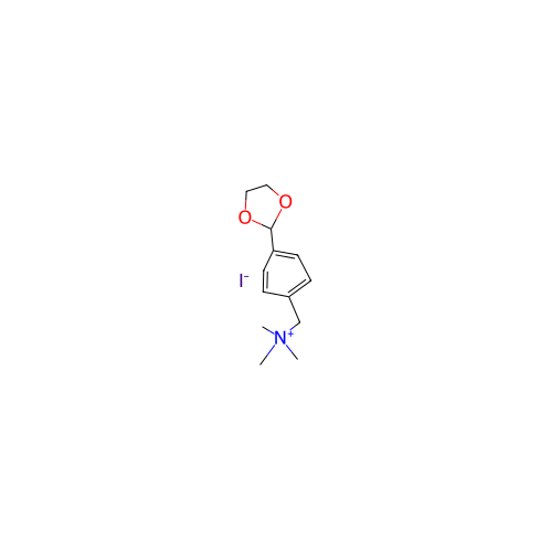 C[N+](C)(C)Cc1ccc(C2OCCO2)cc1.[I-]